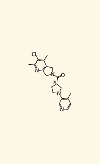 Cc1ccncc1N1CC[C@@H](C(=O)N2Cc3nc(C)c(Cl)c(C)c3C2)C1